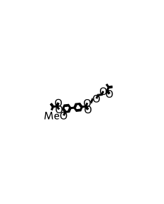 C=C(C)C(=O)OCCOCCOC(=O)c1ccc(-c2ccc(OC(=O)C(=C)C)c(OC)c2)cc1